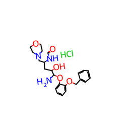 Cl.NC(Oc1ccccc1OCc1ccccc1)C(O)CC(CN1CCOCC1)NC=O